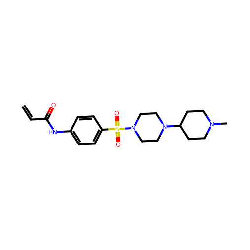 C=CC(=O)Nc1ccc(S(=O)(=O)N2CCN(C3CCN(C)CC3)CC2)cc1